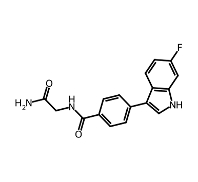 NC(=O)CNC(=O)c1ccc(-c2c[nH]c3cc(F)ccc23)cc1